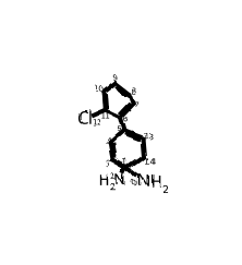 NC1(N)C=CC(c2ccccc2Cl)=CC1